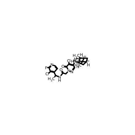 CC(NC(=O)Cn1ncc(N[C@@H]2C[C@@H]3C[C@H]([C@H]2C)C3(C)C)c(Cl)c1=O)c1ccnc(F)c1Cl